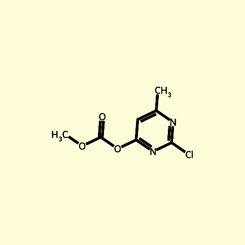 COC(=O)Oc1cc(C)nc(Cl)n1